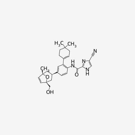 CC1(C)CC=C(c2cc([C@H]3C[C@]4(CO)C=C[C@](C)(C3)O4)ccc2NC(=O)c2nc(C#N)c[nH]2)CC1